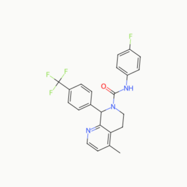 Cc1ccnc2c1CCN(C(=O)Nc1ccc(F)cc1)C2c1ccc(C(F)(F)F)cc1